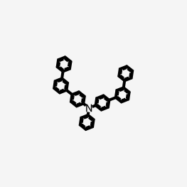 c1ccc(-c2cccc(-c3ccc(N(c4ccccc4)c4ccc(-c5cccc(-c6ccccc6)c5)cc4)cc3)c2)cc1